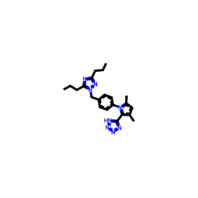 CCCc1nc(CCC)n(Cc2ccc(-n3c(C)cc(C)c3-c3nnn[nH]3)cc2)n1